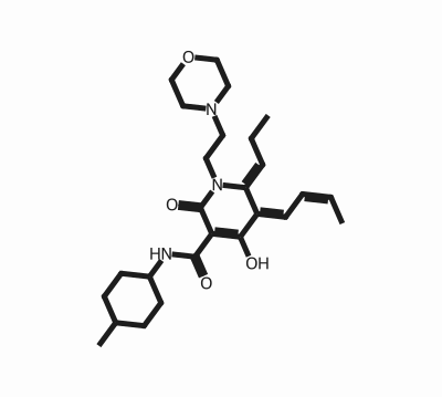 C\C=C/C=c1/c(O)c(C(=O)NC2CCC(C)CC2)c(=O)n(CCN2CCOCC2)/c1=C\CC